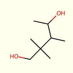 CC(O)C(C)C(C)(C)CO